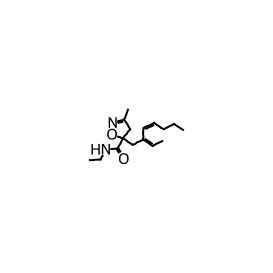 C/C=C(\C=C/CCC)CC1(C(=O)NCC)CC(C)=NO1